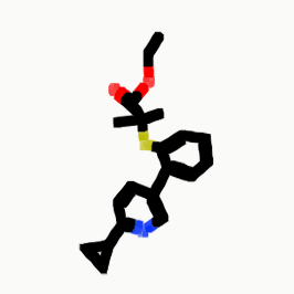 CCOC(=O)C(C)(C)Sc1ccccc1-c1ccc(C2CC2)nc1